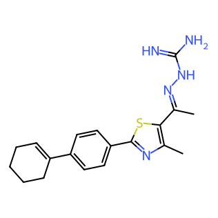 CC(=NNC(=N)N)c1sc(-c2ccc(C3=CCCCC3)cc2)nc1C